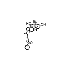 CC[C@H]1[C@@H](O)[C@@H]2[C@H](CC[C@]3(C)C([C@H](C)CCCOC(=O)N4CCCCC4)CC[C@@H]23)[C@@]2(C)CC[C@@H](O)C[C@@H]12